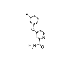 NC(=O)c1cc(Oc2cccc(F)c2)ccn1